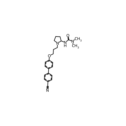 CN(C)C(=O)NC1CCCN1CCCOc1ccc(-c2ccc(C#N)cc2)cc1